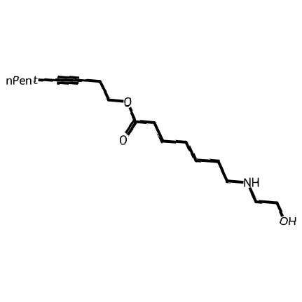 CCCCCC#CCCOC(=O)CCCCCCNCCO